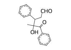 CC(O)(C(=O)c1ccccc1)C(CC=O)c1ccccc1